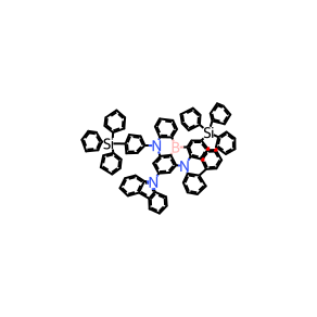 c1ccc(-c2ccccc2N2c3ccc([Si](c4ccccc4)(c4ccccc4)c4ccccc4)cc3B3c4ccccc4N(c4ccc([Si](c5ccccc5)(c5ccccc5)c5ccccc5)cc4)c4cc(-n5c6ccccc6c6ccccc65)cc2c43)cc1